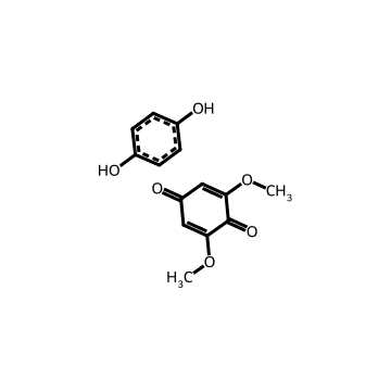 COC1=CC(=O)C=C(OC)C1=O.Oc1ccc(O)cc1